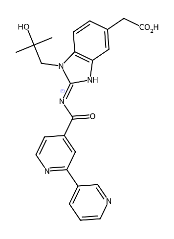 CC(C)(O)Cn1/c(=N/C(=O)c2ccnc(-c3cccnc3)c2)[nH]c2cc(CC(=O)O)ccc21